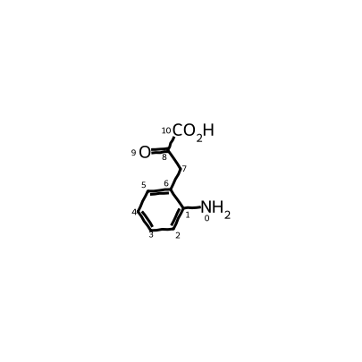 Nc1ccccc1CC(=O)C(=O)O